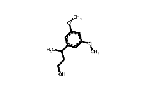 COc1cc(OC)cc(C(C)CCO)c1